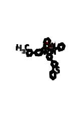 Cc1cccc(-c2ccc3c(c2)c2ccccc2n3-c2ccc(-c3ccc4sc5ccccc5c4c3)cc2-c2nc(-c3ccccc3)nc(-c3ccccc3)n2)c1